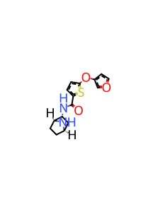 O=C(N[C@@H]1C[C@H]2CC[C@@H]1N2)c1ccc(Oc2ccoc2)s1